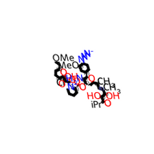 COCC[C@@H]1CC[C@@H](C)[C@](O)(C(=O)C(=O)N2CCCC[C@H]2C(=O)O[C@@H](CC(=O)[C@H](C)/C=C(\C)[C@@H](O)[C@@H](O)C(=O)C(C)C)[C@H](N)C[C@@H]2CCC(N=[N+]=[N-])[C@H](OC)C2)O1